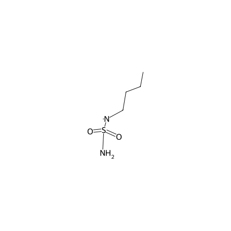 CCCC[N]S(N)(=O)=O